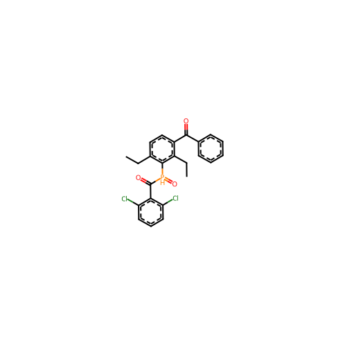 CCc1ccc(C(=O)c2ccccc2)c(CC)c1[PH](=O)C(=O)c1c(Cl)cccc1Cl